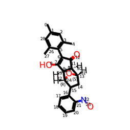 Cc1cc(C)c(C2=C(O)[C@H]3[C@@H](C2=O)[C@@H]2CC(c4ccccc4N=O)[C@H]3O2)c(C)c1